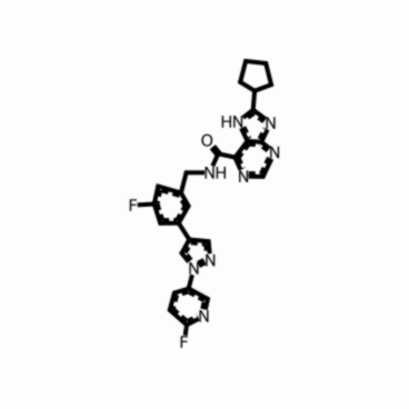 O=C(NCc1cc(F)cc(-c2cnn(-c3ccc(F)nc3)c2)c1)c1ncnc2nc(C3CCCC3)[nH]c12